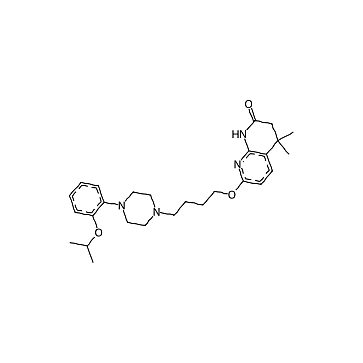 CC(C)Oc1ccccc1N1CCN(CCCCOc2ccc3c(n2)NC(=O)CC3(C)C)CC1